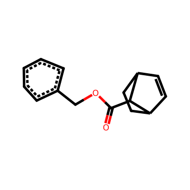 O=C(OCc1ccccc1)C1C2C=CC1CC2